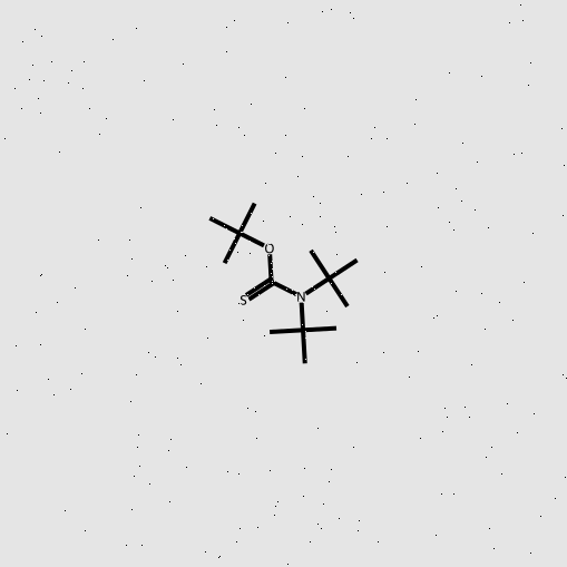 CC(C)(C)OC(=S)N(C(C)(C)C)C(C)(C)C